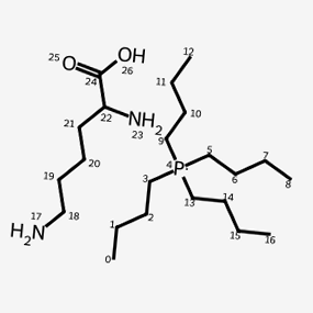 CCCC[P](CCCC)(CCCC)CCCC.NCCCCC(N)C(=O)O